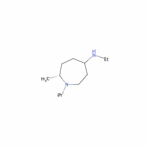 CCNC1CC[C@@H](C)N(C(C)C)CC1